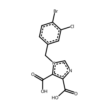 O=C(O)c1ncn(Cc2ccc(Br)c(Cl)c2)c1C(=O)O